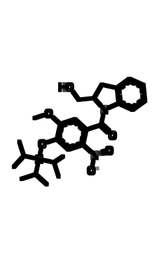 COc1cc(C(=O)N2c3ccccc3CC2CO)c([N+](=O)[O-])cc1O[Si](C(C)C)(C(C)C)C(C)C